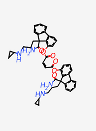 NC(=O)C1(CCCNC2CC2)c2ccccc2-c2cccc(OC(=O)/C=C\C(=O)Oc3cccc4c3C(CCCNC3CC3)(C(N)=O)c3ccccc3-4)c21